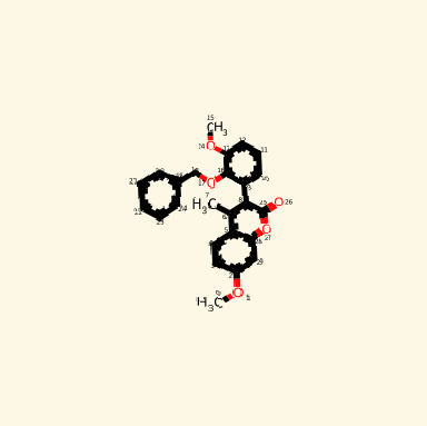 COc1ccc2c(C)c(-c3cccc(OC)c3OCc3ccccc3)c(=O)oc2c1